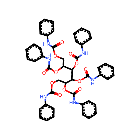 O=C(Nc1ccccc1)OCC(OC(=O)Nc1ccccc1)C(OC(=O)Nc1ccccc1)C(OC(=O)Nc1ccccc1)C(COC(=O)Nc1ccccc1)OC(=O)Nc1ccccc1